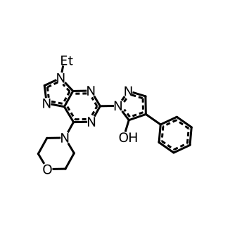 CCn1cnc2c(N3CCOCC3)nc(-n3ncc(-c4ccccc4)c3O)nc21